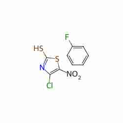 Fc1ccccc1.O=[N+]([O-])c1sc(S)nc1Cl